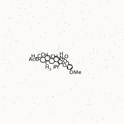 COc1ccc(COC(=O)NC23CCC4C(CCC5C4(C)CCC4C(C)(C)C(OC(C)=O)CCC45C)C2=C(C(C)C)C(=O)C3)cc1